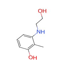 Cc1c(O)cccc1NCCO